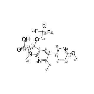 CCc1nc2c(cc1-c1ccc(OC)nc1)c(OCC(F)(F)F)c(C(=O)O)n2C